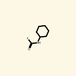 O=C(F)NC1CCCCC1